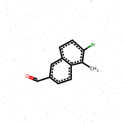 Cc1c(Br)ccc2cc(C=O)ccc12